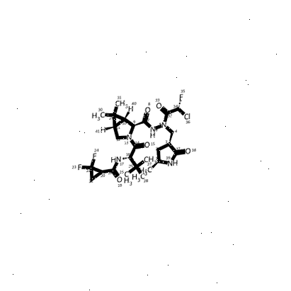 C[C@H]1C[C@@H](CN(NC(=O)[C@@H]2[C@@H]3[C@H](CN2C(=O)[C@@H](NC(=O)C2CC2(F)F)C(C)(C)C)C3(C)C)C(=O)[C@H](F)Cl)C(=O)N1